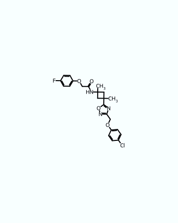 CC1(NC(=O)COc2ccc(F)cc2)CC(C)(c2nc(COc3ccc(Cl)cc3)no2)C1